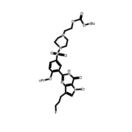 CCCCOC(=O)OCCN1CCN(S(=O)(=O)c2ccc(OCCC)c(-c3nc4c(CCCF)cn(CC)c4c(=O)[nH]3)c2)CC1